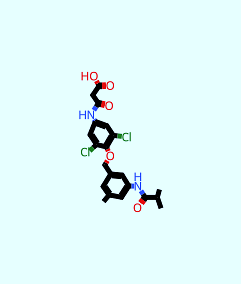 Cc1cc(COc2c(Cl)cc(NC(=O)CC(=O)O)cc2Cl)cc(NC(=O)C(C)C)c1